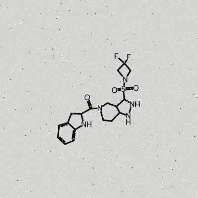 O=C(C1Cc2ccccc2N1)N1CCC2NNC(S(=O)(=O)N3CC(F)(F)C3)C2C1